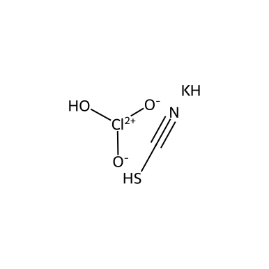 N#CS.[KH].[O-][Cl+2]([O-])O